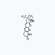 CC(C)(C)CC(=Cc1cnc2c(c1)CCC(=O)N2)C(=O)O